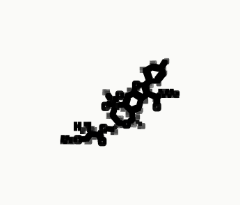 CNC(=O)c1c(-c2ccc(C)cc2)oc2cc3c(cc12)[C@H](C)O[C@H](COC(=O)[C@@H](N)COC)CN3S(C)(=O)=O